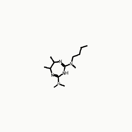 CCCCN(C)C1=NC(C)C(C)N=C(N(C)C)N1